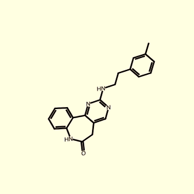 Cc1cccc(CCNc2ncc3c(n2)-c2ccccc2NC(=O)C3)c1